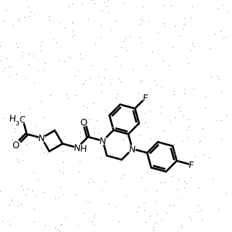 CC(=O)N1CC(NC(=O)N2CCN(c3ccc(F)cc3)c3cc(F)ccc32)C1